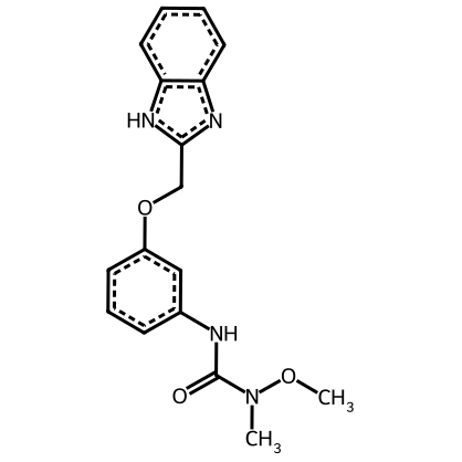 CON(C)C(=O)Nc1cccc(OCc2nc3ccccc3[nH]2)c1